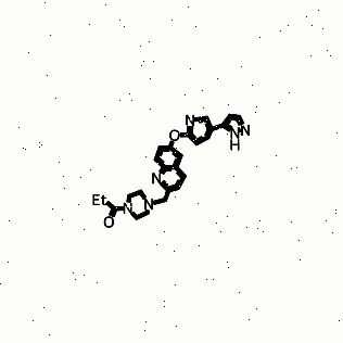 CCC(=O)N1CCN(Cc2ccc3cc(Oc4ccc(-c5ccn[nH]5)cn4)ccc3n2)CC1